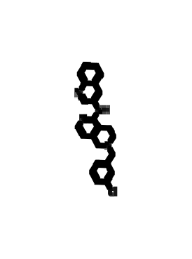 Clc1cccc(CN2CCc3c(ccnc3Nc3cnc4ccccc4c3)C2)c1